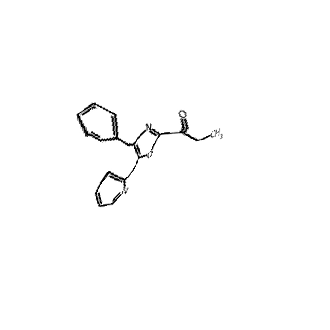 CCC(=O)c1nc(-c2ccccc2)c(-c2ccccn2)o1